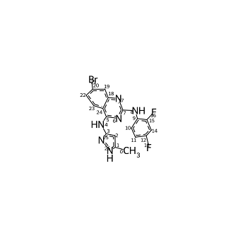 Cc1cc(Nc2nc(Nc3ccc(F)cc3F)nc3cc(Br)ccc23)n[nH]1